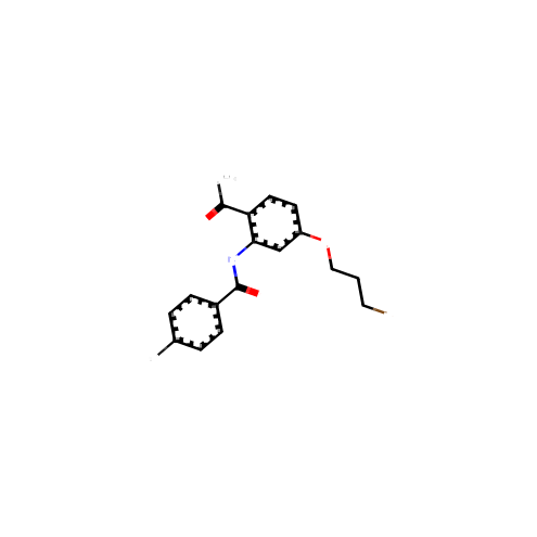 COC(=O)c1ccc(OCCCBr)cc1NC(=O)c1ccc(C(C)(C)C)cc1